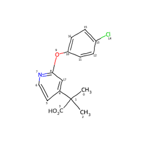 CC(C)(C(=O)O)c1ccnc(Oc2ccc(Cl)cc2)c1